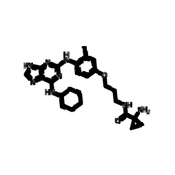 Cc1cc(OCCCNC(=O)C2(N)CC2)ccc1Nc1nc(NC2CCCCC2)c2nc[nH]c2n1